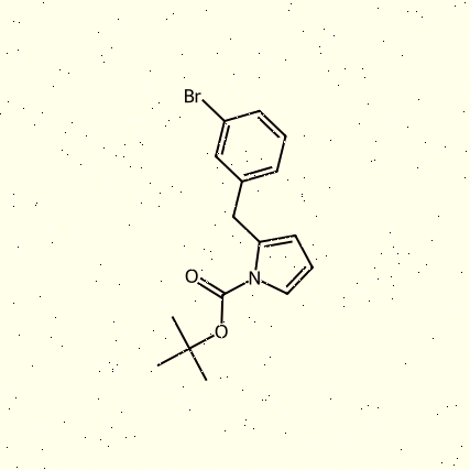 CC(C)(C)OC(=O)n1cccc1Cc1cccc(Br)c1